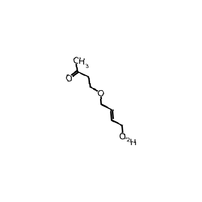 [2H]OC/C=C/COCCC(C)=O